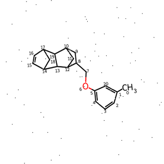 Cc1cccc(OCC2CC3CC2C2C4C=CC(C4)C32)c1